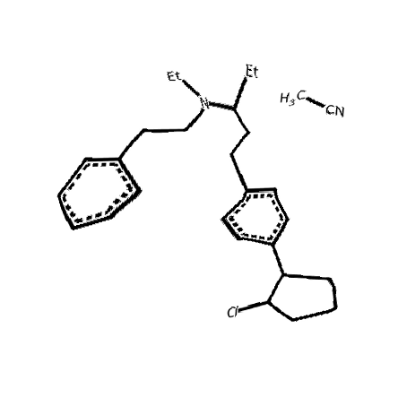 CC#N.CCC(CCc1ccc(C2CCCC2Cl)cc1)N(CC)CCc1ccccc1